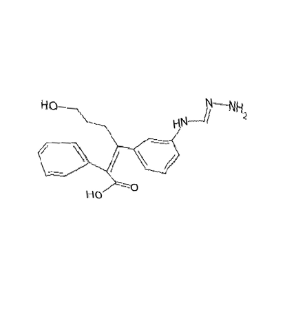 NN=CNc1cccc(C(CCCO)=C(C(=O)O)c2ccccc2)c1